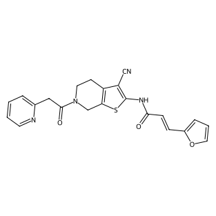 N#Cc1c(NC(=O)C=Cc2ccco2)sc2c1CCN(C(=O)Cc1ccccn1)C2